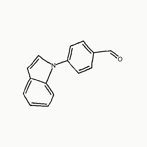 O=Cc1ccc(-n2ccc3ccccc32)cc1